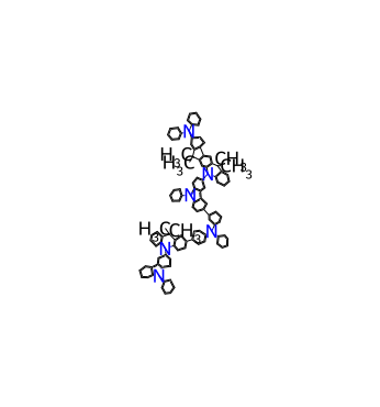 CC1(C)c2cc(N(c3ccccc3)c3ccccc3)ccc2-c2cc3c(cc21)N(c1ccc2c(c1)c1cc(-c4cccc(N(c5ccccc5)c5ccc(-c6ccc7c(c6)C(C)(C)c6ccccc6N7c6ccc7c(c6)c6ccccc6n7-c6ccccc6)cc5)c4)ccc1n2-c1ccccc1)c1ccccc1C3(C)C